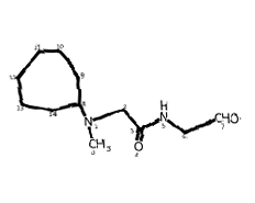 CN(CC(=O)NC[C]=O)C1CCCCCC1